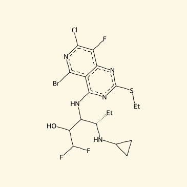 CCSc1nc(NC(C(O)C(F)F)[C@H](CC)NC2CC2)c2c(Br)nc(Cl)c(F)c2n1